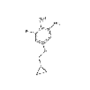 Nc1cc(OCC2CC2)cc(F)c1C(=O)O